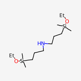 CCO[Si](C)(C)CCCNCCC[Si](C)(C)OCC